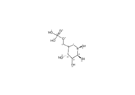 O=P(O)(O)OCC1C[C@@H](O)[C@@H](O)C(O)[C@@H]1O